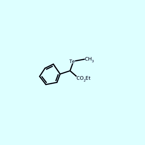 CCOC(=O)C([Te]C)c1ccccc1